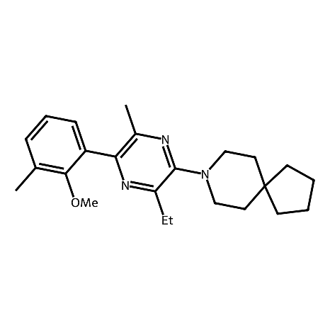 CCc1nc(-c2cccc(C)c2OC)c(C)nc1N1CCC2(CCCC2)CC1